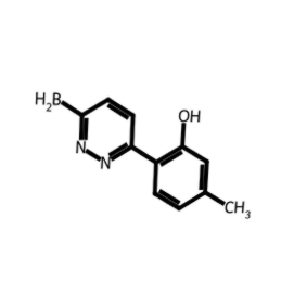 Bc1ccc(-c2ccc(C)cc2O)nn1